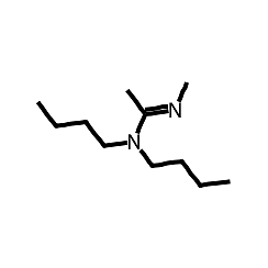 CCCCN(CCCC)C(C)=NC